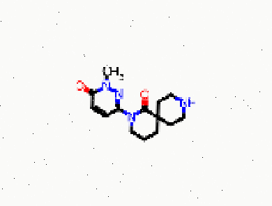 Cn1nc(N2CCCC3(CCNCC3)C2=O)ccc1=O